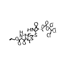 C=CCOC(=O)C(N)C(=O)NC(C)SC(=S)S[C@H]1NC(=O)[C@@H]1C(C)OC(=O)OC(Cl)C(Cl)Cl